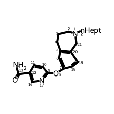 CCCCCCCN1CCCc2cc(Oc3ccc(C(N)=O)cn3)ccc2C1